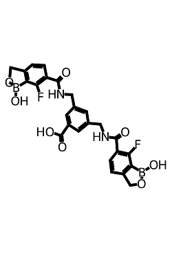 O=C(O)c1cc(CNC(=O)c2ccc3c(c2F)B(O)OC3)cc(CNC(=O)c2ccc3c(c2F)B(O)OC3)c1